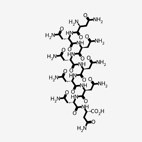 NC(=O)C[C@H](NC(=O)[C@H](CC(N)=O)NC(=O)[C@H](CC(N)=O)NC(=O)[C@H](CC(N)=O)NC(=O)[C@H](CC(N)=O)NC(=O)[C@H](CC(N)=O)NC(=O)[C@H](CC(N)=O)NC(=O)[C@H](CC(N)=O)NC(=O)[C@@H](N)CC(N)=O)C(=O)O